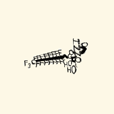 O=c1ccn([C@@H]2O[C@H](CO)C(O)[C@@H]2OCCC(F)(F)C(F)(F)C(F)(F)C(F)(F)C(F)(F)C(F)(F)C(F)(F)C(F)(F)C(F)(F)F)c(=O)[nH]1